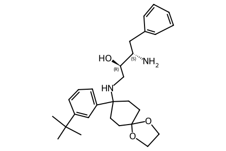 CC(C)(C)c1cccc(C2(NC[C@@H](O)[C@@H](N)Cc3ccccc3)CCC3(CC2)OCCO3)c1